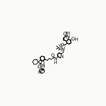 CC(C)(C)[Si](C)(C)O[C@@H](CNCc1ccc(NC(=O)CCCc2cccc(C3(C(=O)O[C@H]4CN5CCC4CC5)CCCCC3)c2)cn1)c1ccc(O)c2[nH]c(=O)ccc12